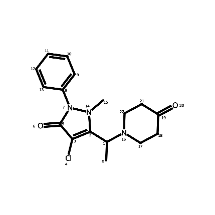 CC(c1c(Cl)c(=O)n(-c2ccccc2)n1C)N1CCC(=O)CC1